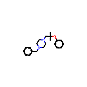 CC(C)(CN1CCN(Cc2ccccc2)CC1)Oc1ccccc1